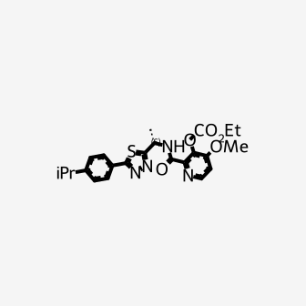 CCOC(=O)Oc1c(OC)ccnc1C(=O)N[C@@H](C)c1nnc(-c2ccc(C(C)C)cc2)s1